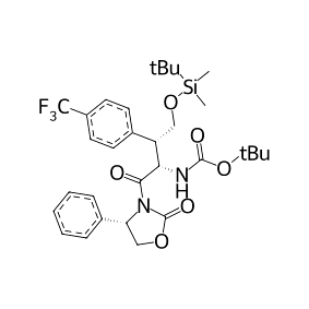 CC(C)(C)OC(=O)N[C@H](C(=O)N1C(=O)OC[C@@H]1c1ccccc1)[C@@H](CO[Si](C)(C)C(C)(C)C)c1ccc(C(F)(F)F)cc1